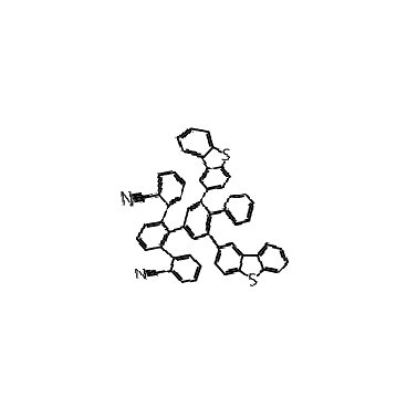 N#Cc1ccccc1-c1cccc(-c2ccccc2C#N)c1-c1cc(-c2ccc3sc4ccccc4c3c2)c(-c2ccccc2)c(-c2ccc3sc4ccccc4c3c2)c1